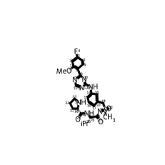 COc1cc(F)ccc1-c1ncnc(Nc2cccc(C[S@@](C)(=O)=NC(=O)[C@@H](NC(=O)[C@@H]3CCCN3)C(C)C)c2)n1